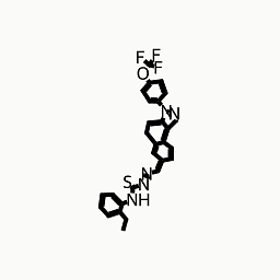 CCc1ccccc1NC(=S)N=NC=c1ccc2c(c1)CC=c1c=2cnn1-c1ccc(OC(F)(F)F)cc1